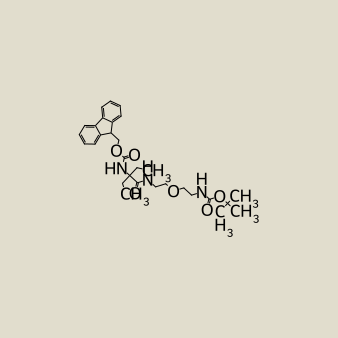 CCC(CC)(NC(=O)OCC1c2ccccc2-c2ccccc21)C(=O)NCCOCCNC(=O)OC(C)(C)C